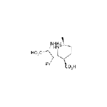 CC(=O)N[C@H](CC(C)C)C(=O)O.C[C@H]1CC[C@@H](C(=O)O)CN1